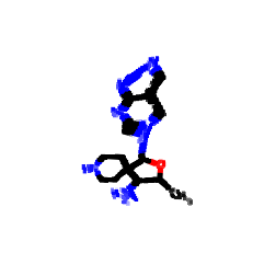 CC1OC(n2cnc3nncc-3c2)C2(CCNCC2)C1N